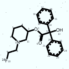 O=C(OC1CCCN(CC[18F])C1)C(O)(c1ccccc1)c1ccccc1